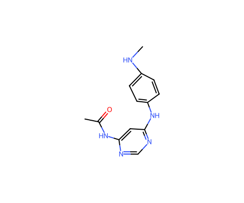 CNc1ccc(Nc2cc(NC(C)=O)ncn2)cc1